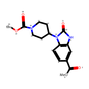 COC(=O)c1ccc2c(c1)[nH]c(=O)n2C1CCN(C(=O)OC(C)(C)C)CC1